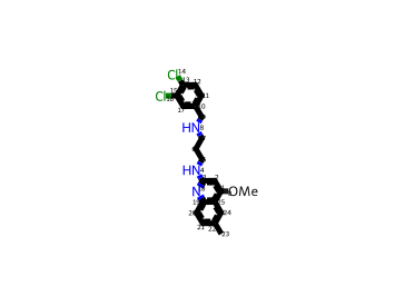 COc1cc(NCCCNCc2ccc(Cl)c(Cl)c2)nc2ccc(C)cc12